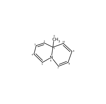 CC12C=CC=CN1C=CC=C2